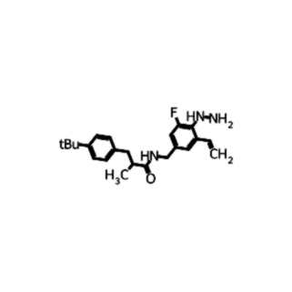 C=Cc1cc(CNC(=O)C(C)Cc2ccc(C(C)(C)C)cc2)cc(F)c1NN